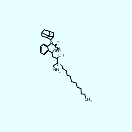 CCCCCCCCCCCC[C@H](CN)C(O)CC(O)c1ccccc1N(C(C)=O)C1C2CC3CC(C2)CC1C3